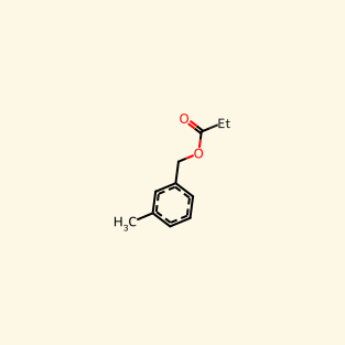 [CH2]CC(=O)OCc1cccc(C)c1